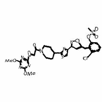 COc1nc(OC)nc(OCC(=O)N2CCC(c3nc(C4=NOC(c5c(Cl)cccc5OS(C)(=O)=O)C4)cs3)CC2)n1